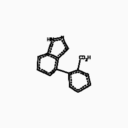 O=C(O)c1ccccc1-c1cccc2[nH]ncc12